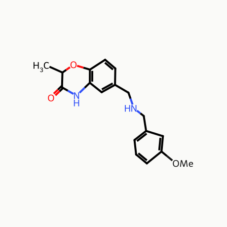 COc1cccc(CNCc2ccc3c(c2)NC(=O)C(C)O3)c1